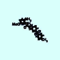 COc1ccc(N)c(NC(=O)c2nc3c(s2)CN(S(=O)(=O)c2ccc(C)cc2)CC3)c1